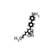 CCCCCC(CC(=O)c1ccc(-c2ccc(N)cc2)cc1)C(=O)O